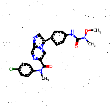 CON(C)C(=O)Nc1ccc(-c2cnc3cnc(C(=O)N(C)c4ccc(Cl)cc4)cn23)cc1